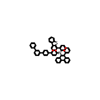 c1ccc(-c2cccc(-c3ccc(-c4ccc(N(c5ccccc5-c5cccc6c5sc5ccccc56)c5c(-c6ccccc6)c6ccccc6c6ccccc56)cc4)cc3)c2)cc1